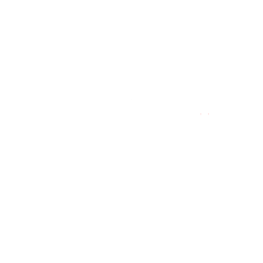 COC(=O)c1ccc(C2CCCCC2)c(C)c1